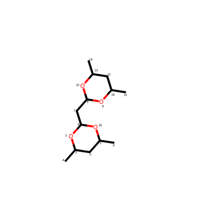 CC1CC(C)OC(CC2OC(C)CC(C)O2)O1